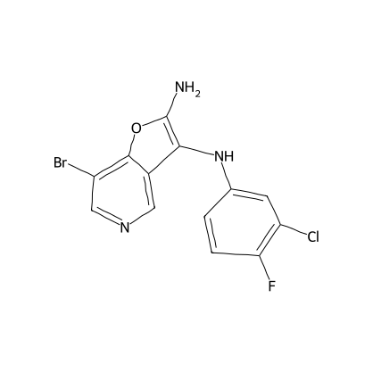 Nc1oc2c(Br)cncc2c1Nc1ccc(F)c(Cl)c1